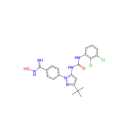 CC(C)(C)c1cc(NC(=O)Nc2cccc(Cl)c2Cl)n(-c2ccc(C(=N)NO)cc2)n1